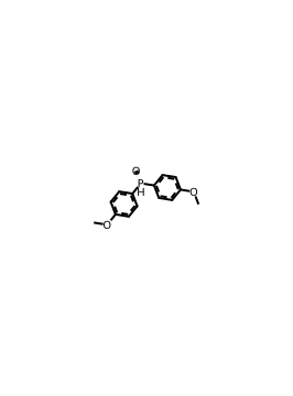 COc1ccc([PH](=O)c2ccc(OC)cc2)cc1